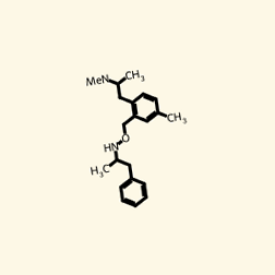 CNC(C)Cc1ccc(C)cc1CONC(C)Cc1ccccc1